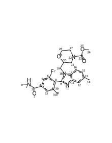 CNC(=O)c1cc(F)c(-c2nc3cc(C)ccc3n2CC2CN(C(=O)OC)CCO2)c(F)c1